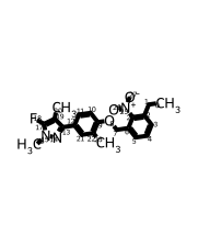 CCc1cccc(COc2ccc(-c3nn(C)c(F)c3C)cc2C)c1[N+](=O)[O-]